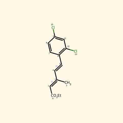 CCOC(=O)/C=C(C)/C=C/c1ccc(Cl)cc1Cl